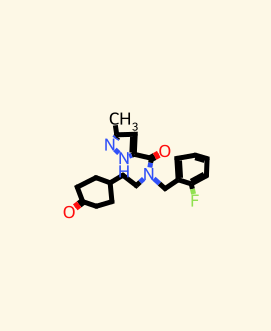 Cc1cc(C(=O)N(CCC2CCC(=O)CC2)Cc2ccccc2F)[nH]n1